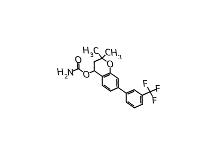 CC1(C)CC(OC(N)=O)c2ccc(-c3cccc(C(F)(F)F)c3)cc2O1